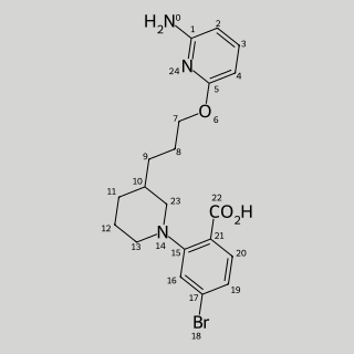 Nc1cccc(OCCCC2CCCN(c3cc(Br)ccc3C(=O)O)C2)n1